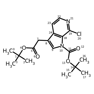 CC(C)(C)OC(=O)Cc1cn(C(=O)OC(C)(C)C)c2c(Cl)nccc12